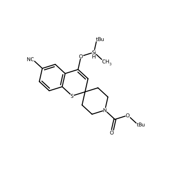 C[SiH](OC1=CC2(CCN(C(=O)OC(C)(C)C)CC2)Sc2ccc(C#N)cc21)C(C)(C)C